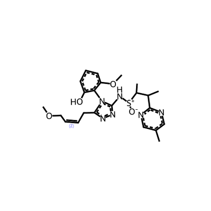 COC/C=C\Cc1nnc(N[S+]([O-])C(C)C(C)c2ncc(C)cn2)n1-c1c(O)cccc1OC